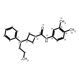 CCCN(c1ccccc1)C1CN(C(=O)Nc2ccc(C)c(C)c2)C1